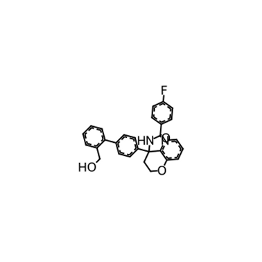 O=C(NC1(c2ccc(-c3ccccc3CO)cc2)CCOc2cccnc21)c1ccc(F)cc1